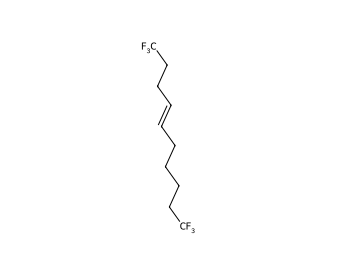 FC(F)(F)CCC=CCCCCC(F)(F)F